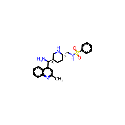 Cc1cc(C(N)[C@@H]2CC[C@@H](CNS(=O)(=O)c3ccccc3)NC2)c2ccccc2n1